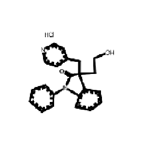 Cl.O=C1N(c2ccccc2)c2ccccc2C1(CCO)Cc1ccncc1